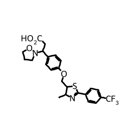 CC1N=C(c2ccc(C(F)(F)F)cc2)SC1COc1ccc(C(CC(=O)O)N2CCCO2)cc1